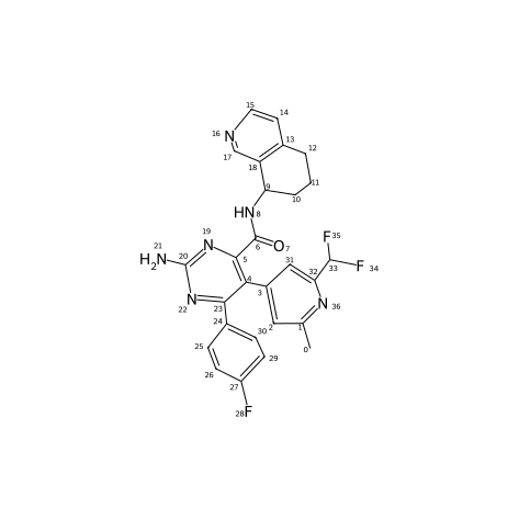 Cc1cc(-c2c(C(=O)NC3CCCc4ccncc43)nc(N)nc2-c2ccc(F)cc2)cc(C(F)F)n1